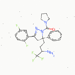 NC(CCC1(c2ccccc2)CC(c2cc(F)ccc2F)=NN1C(=O)N1CCCC1)C(F)(F)F